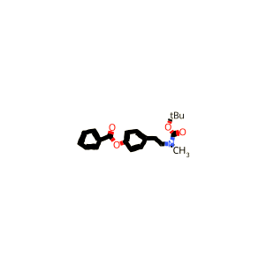 CN(CCc1ccc(OC(=O)c2ccccc2)cc1)C(=O)OC(C)(C)C